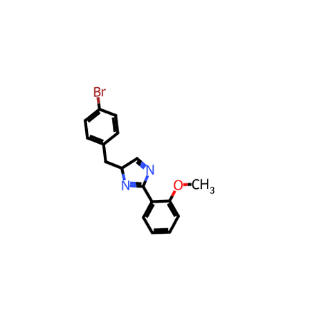 COc1ccccc1C1=NC(Cc2ccc(Br)cc2)C=N1